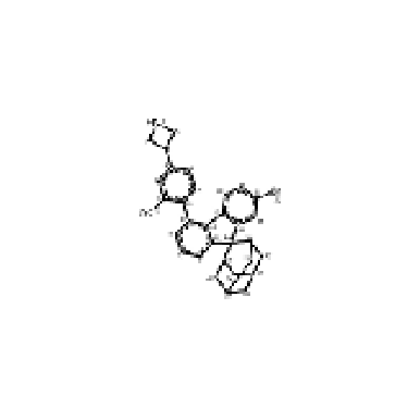 N#Cc1cc(C2CNC2)ccc1-c1cccc2c1-c1ccc(Br)cc1C21C2CC3CC(C2)CC1C3